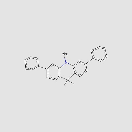 CC1(C)c2ccc(-c3ccccc3)cc2N(C(C)(C)C)c2cc(-c3ccccc3)ccc21